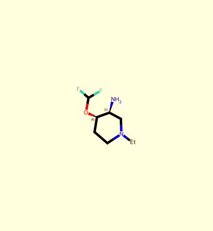 CCN1CC[C@@H](OC(F)F)[C@@H](N)C1